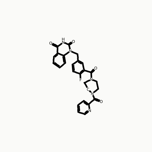 O=C(c1ccccn1)N1CCN(C(=O)c2cc(Cn3c(=O)[nH]c(=O)c4ccccc43)ccc2F)CC1